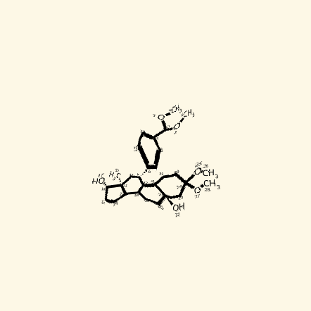 COC(OC)c1ccc([C@H]2C[C@@]3(C)C(CC[C@@H]3O)C3CC[C@@]4(O)CC(OC)(OC)CCC4=C32)cc1